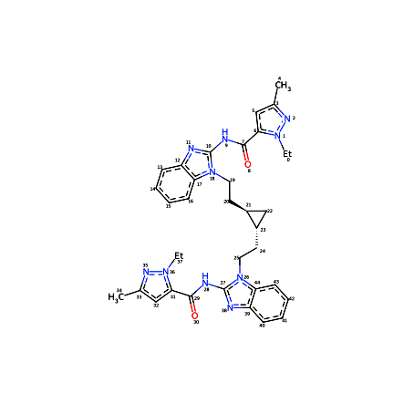 CCn1nc(C)cc1C(=O)Nc1nc2ccccc2n1CC[C@H]1C[C@@H]1CCn1c(NC(=O)c2cc(C)nn2CC)nc2ccccc21